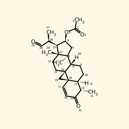 CC(=O)O[C@H]1C[C@@]2(C)[C@@H]3CC[C@H]4[C@H](C)C(=O)C=C[C@@]45C[C@@]35CC[C@]2(C)[C@H]1[C@H](C)C=O